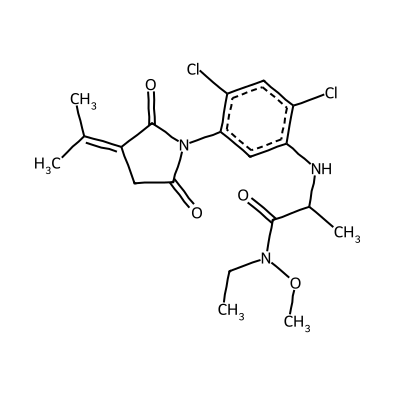 CCN(OC)C(=O)C(C)Nc1cc(N2C(=O)CC(=C(C)C)C2=O)c(Cl)cc1Cl